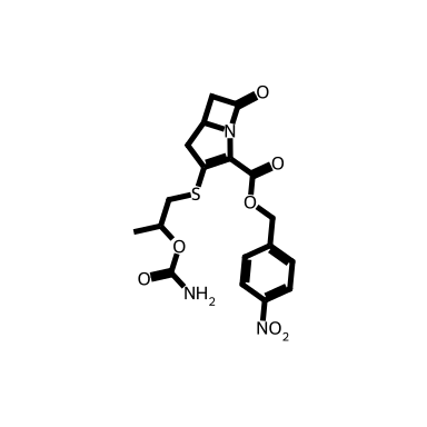 CC(CSC1=C(C(=O)OCc2ccc([N+](=O)[O-])cc2)N2C(=O)CC2C1)OC(N)=O